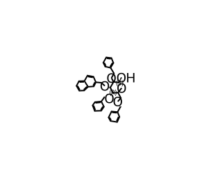 O[C@H]1OC(COCc2ccccc2)[C@@H](OCc2ccccc2)C(OCc2ccc3ccccc3c2)C1OCc1ccccc1